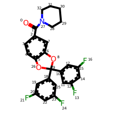 O=C(c1ccc2c(c1)OC(c1cc(F)cc(F)c1)(c1cc(F)cc(F)c1)O2)N1CCCCC1